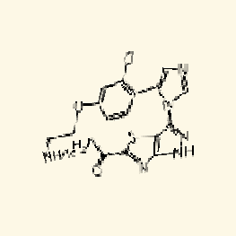 CC(=O)NCCOc1ccc(-c2cncn2-c2n[nH]c3nc(C(N)=O)sc23)c(Cl)c1